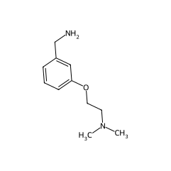 CN(C)CCOc1cccc(CN)c1